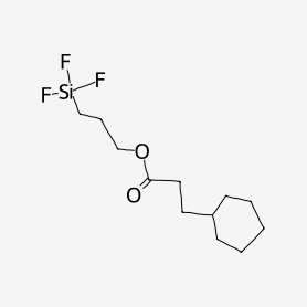 O=C(CCC1CCCCC1)OCCC[Si](F)(F)F